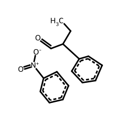 CCC(C=O)c1ccccc1.O=[N+]([O-])c1ccccc1